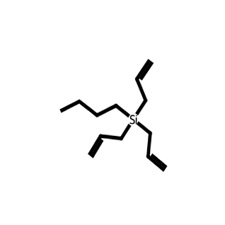 C=CC[Si](CC=C)(CC=C)CCCC